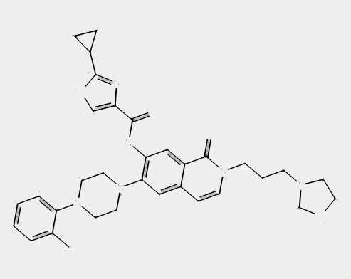 Cc1ccccc1N1CCN(c2cc3ccn(CCCN4CCOC4)c(=O)c3cc2NC(=O)c2coc(C3CC3)n2)CC1